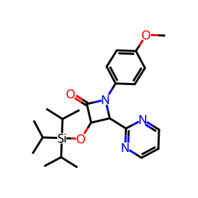 COc1ccc(N2C(=O)C(O[Si](C(C)C)(C(C)C)C(C)C)C2c2ncccn2)cc1